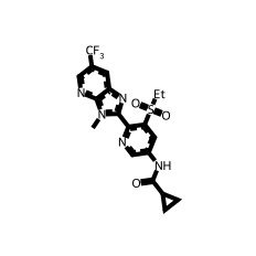 CCS(=O)(=O)c1cc(NC(=O)C2CC2)cnc1-c1nc2cc(C(F)(F)F)cnc2n1C